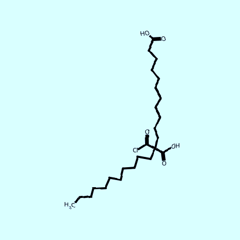 CCCCCCCCCCCC(CCCCCCCCCCC(=O)O)(C(=O)O)C(=O)Cl